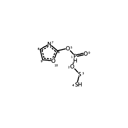 O=[PH](OSS)Oc1ncco1